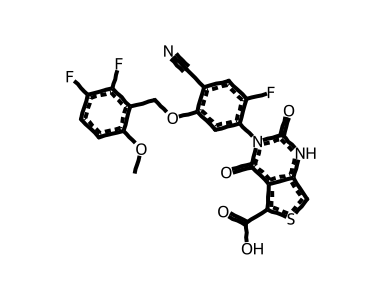 COc1ccc(F)c(F)c1COc1cc(-n2c(=O)[nH]c3csc(C(=O)O)c3c2=O)c(F)cc1C#N